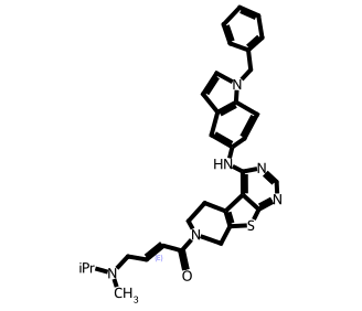 CC(C)N(C)C/C=C/C(=O)N1CCc2c(sc3ncnc(Nc4ccc5c(ccn5Cc5ccccc5)c4)c23)C1